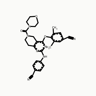 Cc1cc(C#N)cc(C)c1Oc1nc(Nc2ccc(C#N)cc2)nc2c1CN(C(=O)N1CCOCC1)CC2